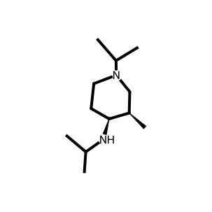 CC(C)N[C@H]1CCN(C(C)C)C[C@H]1C